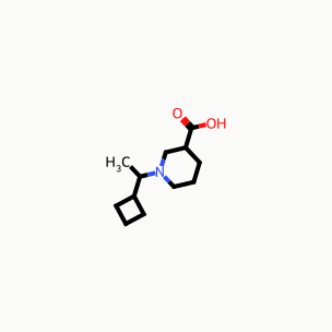 CC(C1CCC1)N1CCCC(C(=O)O)C1